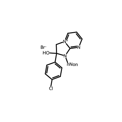 CCCCCCCCCN1c2nccc[n+]2CC1(O)c1ccc(Cl)cc1.[Br-]